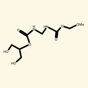 COCOC(=O)NCNC(=O)OC(CO)CO